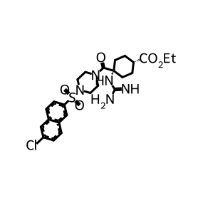 CCOC(=O)[C@H]1CC[C@](NC(=N)N)(C(=O)N2CCN(S(=O)(=O)c3ccc4cc(Cl)ccc4c3)CC2)CC1